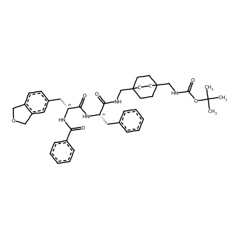 CC(C)(C)OC(=O)NCC12CCC(CNC(=O)[C@H](Cc3ccccc3)NC(=O)[C@@H](Cc3ccc4c(c3)COC4)NC(=O)c3ccccc3)(CC1)CC2